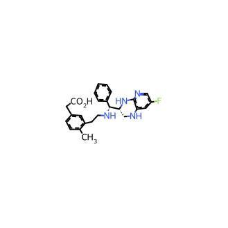 Cc1ccc(CC(=O)O)cc1CCN[C@H](c1ccccc1)[C@H]1CNc2cc(F)cnc2N1